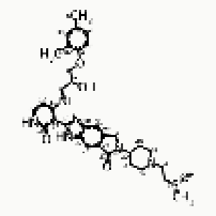 Cc1ccc(OCC(O)CNc2cc[nH]c(=O)c2-c2nc3cc4c(cc3[nH]2)C(=O)N(C2CCN(CC[S+](C)[O-])CC2)C4)c(C)c1